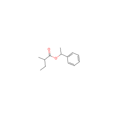 CCC(C)C(=O)OC(C)c1ccccc1